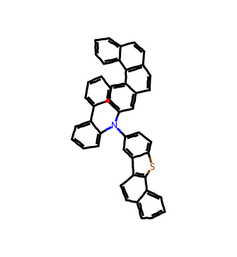 c1ccc(-c2ccccc2N(c2ccc3c(ccc4ccc5ccccc5c43)c2)c2ccc3sc4c5ccccc5ccc4c3c2)cc1